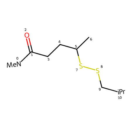 CNC(=O)CCC(C)SSCC(C)C